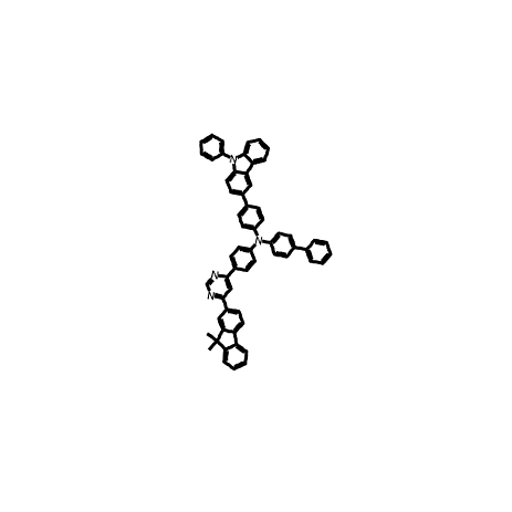 CC1(C)c2ccccc2-c2ccc(-c3cc(-c4ccc(N(c5ccc(-c6ccccc6)cc5)c5ccc(-c6ccc7c(c6)c6ccccc6n7-c6ccccc6)cc5)cc4)ncn3)cc21